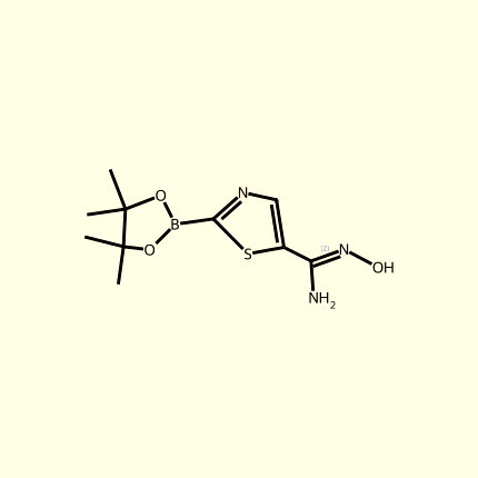 CC1(C)OB(c2ncc(/C(N)=N/O)s2)OC1(C)C